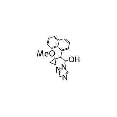 COC1(C(c2cccc3ccccc23)C(O)n2cncn2)CC1